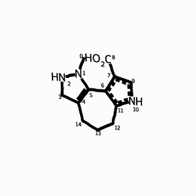 CN1NCC2=C1c1c(C(=O)O)c[nH]c1CCC2